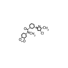 Cc1nn(-c2cccc(C(=O)N(C)c3ccc4c(c3)OCO4)c2)cc1Cl